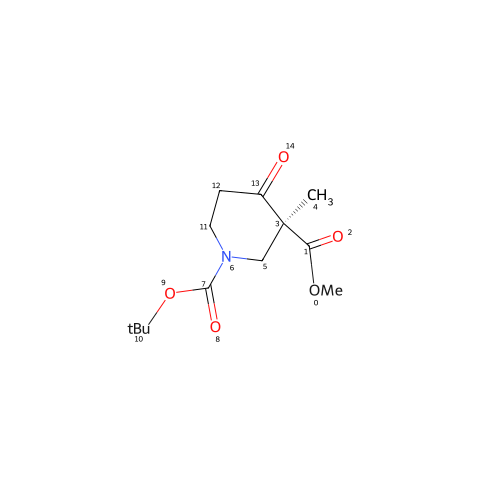 COC(=O)[C@@]1(C)CN(C(=O)OC(C)(C)C)CCC1=O